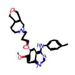 COc1cc2ncnc(Nc3ccc(C)cc3)c2cc1OCCCN1CCC2COCC2C1